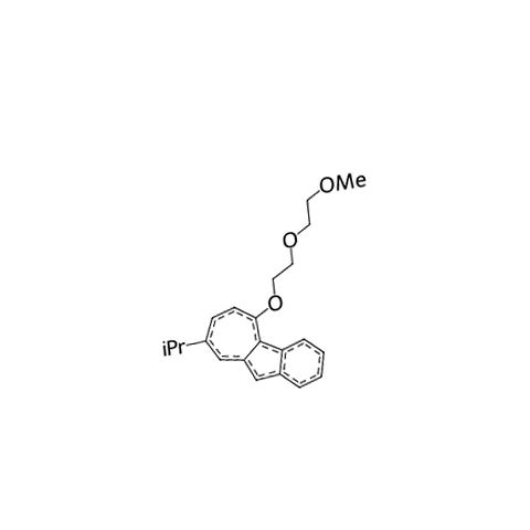 COCCOCCOc1ccc(C(C)C)cc2cc3ccccc3c1-2